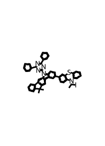 CC(I)N1c2ccccc2Sc2cc(-c3ccc4c(c3)c3cc5c(cc3n4-c3nc(-c4ccccc4)nc(-c4ccccc4)n3)-c3ccccc3C5(C)C)ccc21